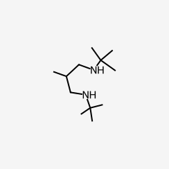 CC(CNC(C)(C)C)CNC(C)(C)C